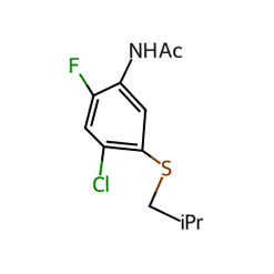 CC(=O)Nc1cc(SCC(C)C)c(Cl)cc1F